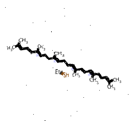 CC(C)=CCC/C(C)=C/CC/C(C)=C/CC/C=C(\C)CC/C=C(\C)CCC=C(C)C.CCS